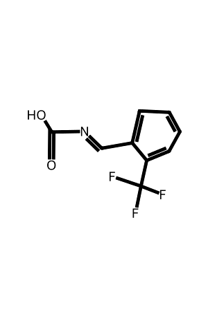 O=C(O)/N=C/c1ccccc1C(F)(F)F